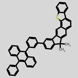 CC1(C)c2ccc(-c3cccc(-c4c5ccccc5c(-c5ccccc5)c5ccccc45)c3)cc2-c2cc3c(ccc4c5ccccc5sc34)cc21